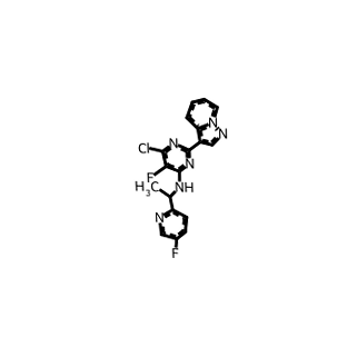 CC(Nc1nc(-c2cnn3ccccc23)nc(Cl)c1F)c1ccc(F)cn1